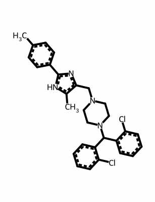 Cc1ccc(-c2nc(CN3CCN(C(c4ccccc4Cl)c4ccccc4Cl)CC3)c(C)[nH]2)cc1